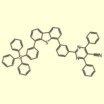 N#Cc1c(-c2ccccc2)nc(-c2cccc(-c3cccc4c3sc3c(-c5cccc([Si](c6ccccc6)(c6ccccc6)c6ccccc6)c5)cccc34)c2)nc1-c1ccccc1